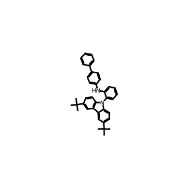 CC(C)(C)c1ccc2c(c1)c1cc(C(C)(C)C)ccc1n2-c1ccccc1Nc1ccc(-c2ccccc2)cc1